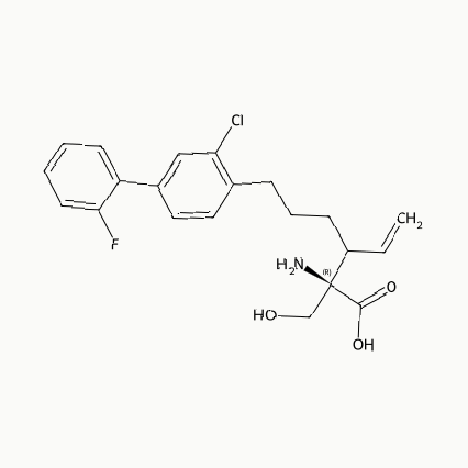 C=CC(CCCc1ccc(-c2ccccc2F)cc1Cl)[C@@](N)(CO)C(=O)O